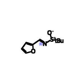 CC(C)(C)[S+]([O-])/N=C/c1ccco1